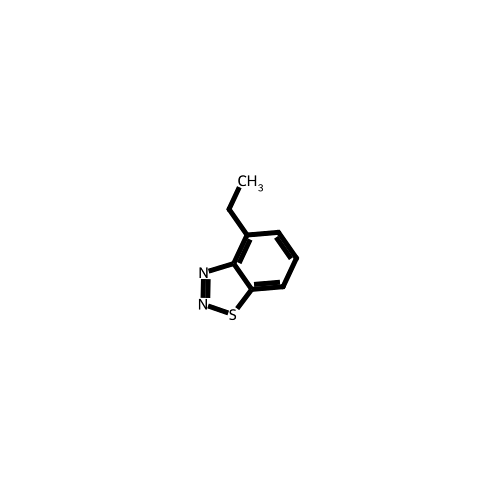 CCc1cccc2snnc12